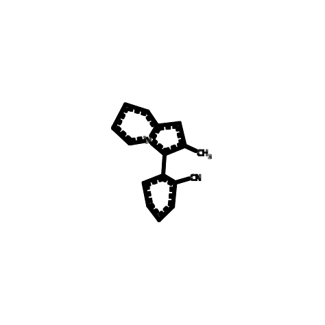 Cc1cc2ccccn2c1-c1ccccc1C#N